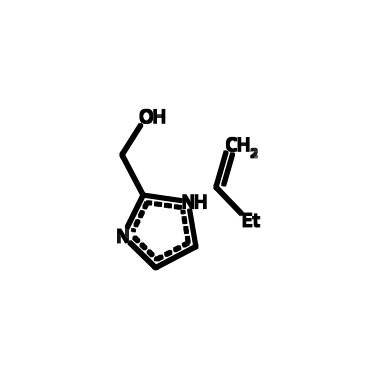 C=CCC.OCc1ncc[nH]1